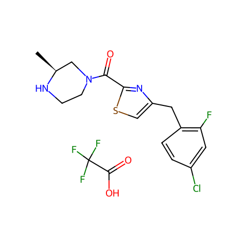 C[C@H]1CN(C(=O)c2nc(Cc3ccc(Cl)cc3F)cs2)CCN1.O=C(O)C(F)(F)F